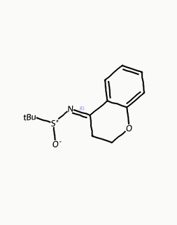 CC(C)(C)[S+]([O-])/N=C1\CCOc2ccccc21